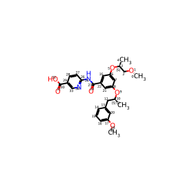 COC[C@H](C)Oc1cc(O[C@@H](C)Cc2cccc(OC)c2)cc(C(=O)Nc2ccc(C(=O)O)cn2)c1